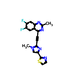 Cc1nc(C#Cc2nc(-c3nccs3)cn2C)c2cc(F)c(F)cc2n1